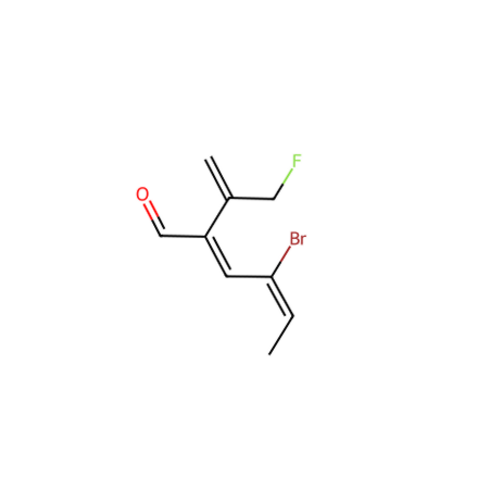 C=C(CF)/C(C=O)=C\C(Br)=C/C